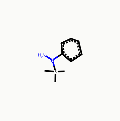 C[Si](C)(C)N(N)c1ccccc1